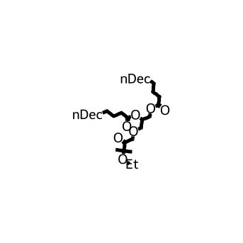 CCCCCCCCCCCCCC(=O)OCC(COCC(=O)C(C)(C)OCC)OC(=O)CCCCCCCCCCCCC